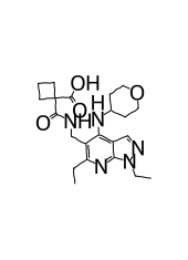 CCc1nc2c(cnn2CC)c(NC2CCOCC2)c1CNC(=O)C1(C(=O)O)CCC1